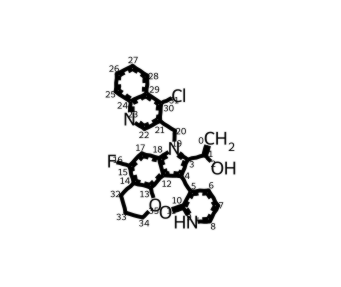 C=C(O)c1c(-c2ccc[nH]c2=O)c2c3c(c(F)cc2n1Cc1cnc2ccccc2c1Cl)CCCO3